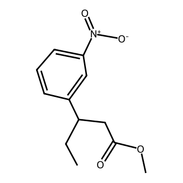 CCC(CC(=O)OC)c1cccc([N+](=O)[O-])c1